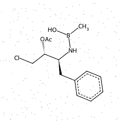 CB(O)N[C@@H](Cc1ccccc1)[C@H](CCl)OC(C)=O